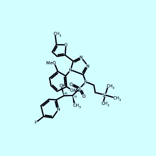 COc1cccc(OC)c1-n1c(-c2ccc(C)o2)nnc1N(CC[Si](C)(C)C)S(=O)(=O)[C@@H](C)[C@H](O)c1ccc(F)cn1